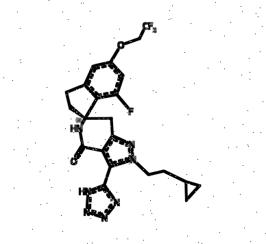 O=C1N[C@@]2(CCc3cc(OCC(F)(F)F)cc(F)c32)Cc2nn(CCC3CC3)c(-c3nnn[nH]3)c21